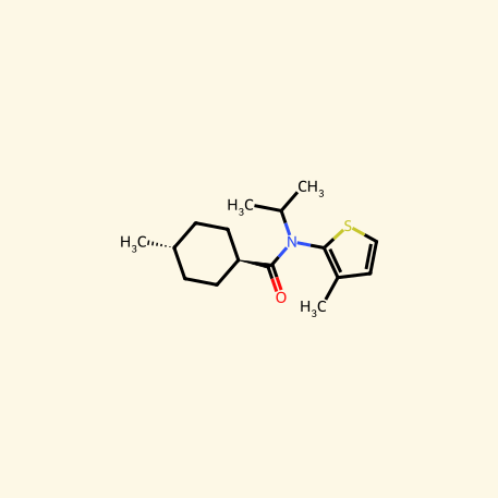 Cc1ccsc1N(C(=O)[C@H]1CC[C@H](C)CC1)C(C)C